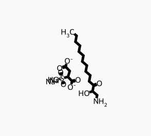 CCCCCCCCCCCC(=O)C(O)CN.O=C([O-])CC(C(=O)[O-])S(=O)(=O)O.[Na+].[Na+]